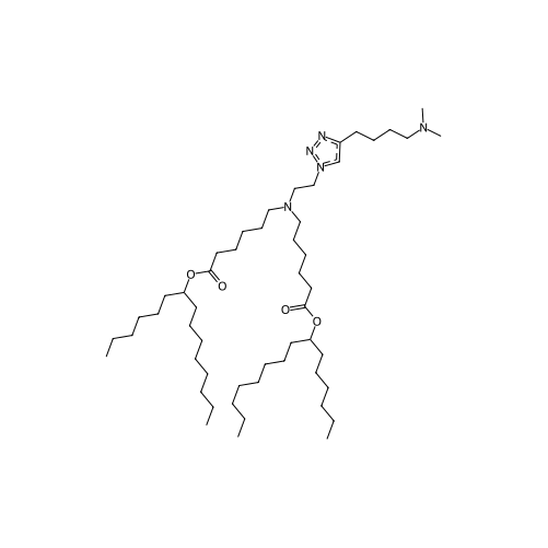 CCCCCCCCC(CCCCCC)OC(=O)CCCCCN(CCCCCC(=O)OC(CCCCCC)CCCCCCCC)CCn1cc(CCCCN(C)C)nn1